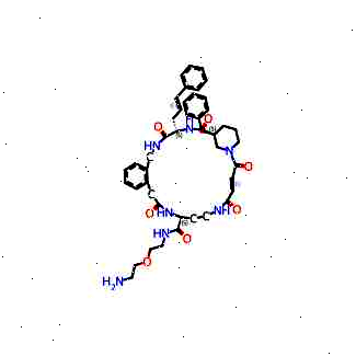 NCCOCCNC(=O)[C@@H]1CCNC(=O)/C=C/C(=O)N2CCC[C@](Cc3ccccc3)(C2)C(=O)N[C@@H](C/C=C/c2ccccc2)C(=O)NCc2ccccc2CC(=O)N1